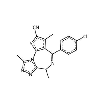 Cc1c(C#N)sc2c1C(c1ccc(Cl)cc1)=NC(C)c1nnc(C)n1-2